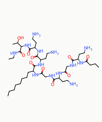 CCCCCCCCC(NC(=O)CNC(=O)C(CCN)NC(=O)CNC(=O)C(CCN)NC(=O)CCC)C(=O)NC(CCN)C(=O)NC(CCN)C(=O)NC(C(=O)NCC)C(C)O